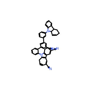 N#CC1=Cc2c3c(n(-c4ccccc4-c4cc(C#N)cc(-c5cccc(N6c7ccccc7C7CCC=CC76)c5)c4)c2CC#C1)CCC(C#N)=C3